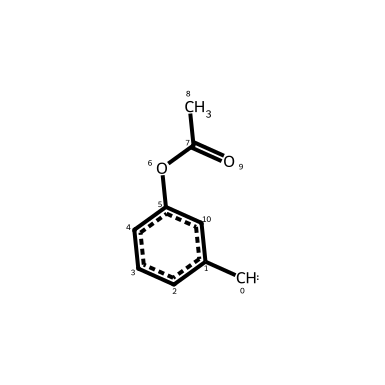 [CH]c1cccc(OC(C)=O)c1